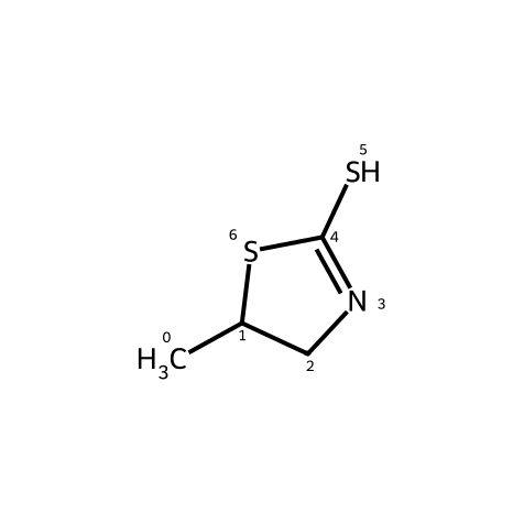 CC1CN=C(S)S1